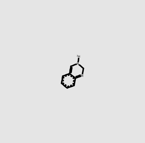 [2H]N1C=c2ccccc2=NC1